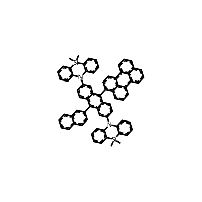 C[Si]1(C)c2ccccc2N(c2ccc3c(-c4ccc5c6cccc7cccc(c8cccc4c85)c76)c4cc(N5c6ccccc6[Si](C)(C)c6ccccc65)ccc4c(-c4ccc5ccccc5c4)c3c2)c2ccccc21